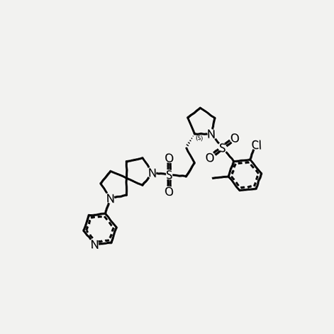 Cc1cccc(Cl)c1S(=O)(=O)N1CCC[C@H]1CCCS(=O)(=O)N1CCC2(CCN(c3ccncc3)C2)C1